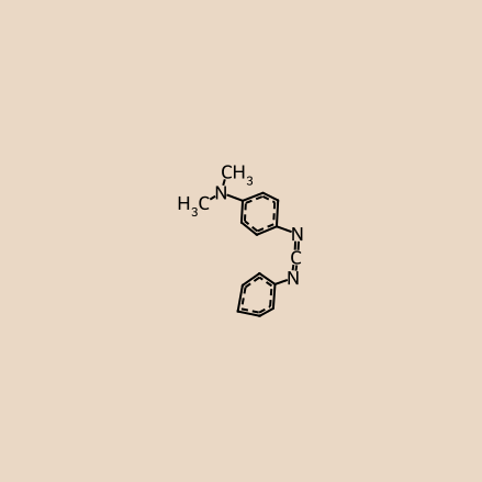 CN(C)c1ccc(N=C=Nc2ccccc2)cc1